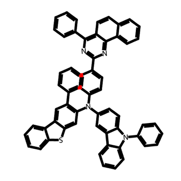 c1ccc(-c2cc3c(cc2N(c2ccc(-c4nc(-c5ccccc5)c5ccc6ccccc6c5n4)cc2)c2ccc4c(c2)c2ccccc2n4-c2ccccc2)sc2ccccc23)cc1